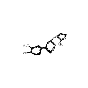 Cc1cc(-c2cnnc(Cn3ccnc3C)c2)ccc1Cl